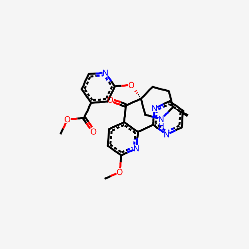 COC(=O)c1ccnc(O[C@]2(C(=O)c3ccc(OC)nc3-c3ncccn3)CC[C@@H](C)NC2)c1